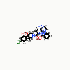 CC(C)[C@@H](NC(=O)c1ccccc1N1CCNCC1)C(=O)N1CC[C@](O)(c2ccc(Cl)cc2)C(C)(C)C1